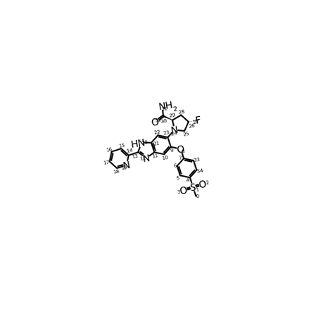 CS(=O)(=O)c1ccc(Oc2cc3nc(-c4ccccn4)[nH]c3cc2N2C[C@@H](F)C[C@@H]2C(N)=O)cc1